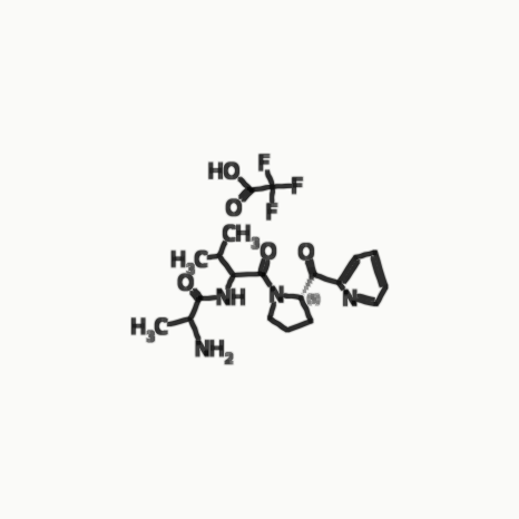 CC(N)C(=O)NC(C(=O)N1CCC[C@H]1C(=O)c1ccccn1)C(C)C.O=C(O)C(F)(F)F